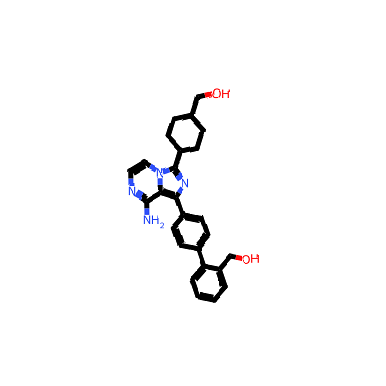 Nc1nccn2c(C3CCC(CO)CC3)nc(-c3ccc(-c4ccccc4CO)cc3)c12